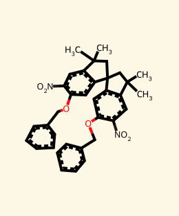 CC1(C)CC2(CC(C)(C)c3cc([N+](=O)[O-])c(OCc4ccccc4)cc32)c2cc(OCc3ccccc3)c([N+](=O)[O-])cc21